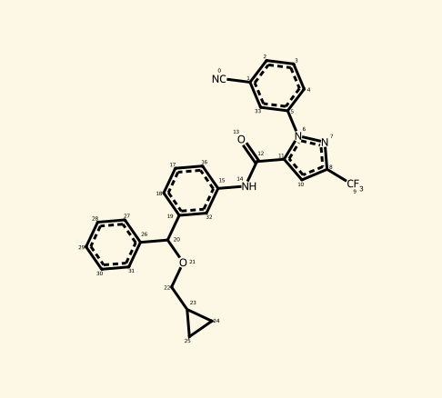 N#Cc1cccc(-n2nc(C(F)(F)F)cc2C(=O)Nc2cccc(C(OCC3CC3)c3ccccc3)c2)c1